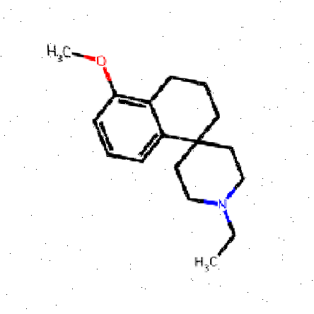 CCN1CCC2(CCCc3c(OC)cccc32)CC1